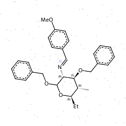 CC[C@H]1OC(OCc2ccccc2)[C@H](/N=C/c2ccc(OC)cc2)[C@@H](OCc2ccccc2)[C@@H]1C